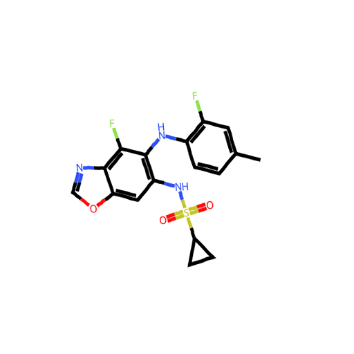 Cc1ccc(Nc2c(NS(=O)(=O)C3CC3)cc3ocnc3c2F)c(F)c1